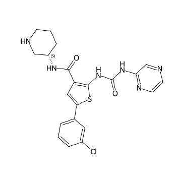 O=C(Nc1cnccn1)Nc1sc(-c2cccc(Cl)c2)cc1C(=O)N[C@H]1CCCNC1